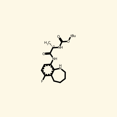 C[C@H](NC(=O)OC(C)(C)C)C(=O)Nc1ccc(F)c2c1NCCCC2